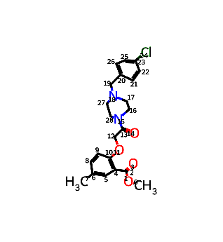 COC(=O)c1cc(C)ccc1OCC(=O)N1CCN(Cc2ccc(Cl)cc2)CC1